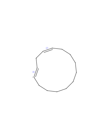 [C]1=C/C/C=C\CCCCCCCCC/1